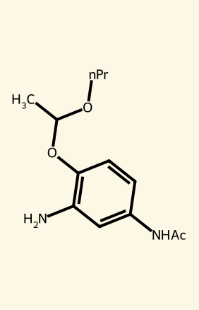 CCCOC(C)Oc1ccc(NC(C)=O)cc1N